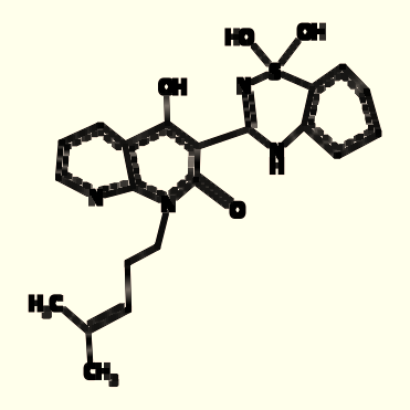 CC(C)=CCCn1c(=O)c(C2=NS(O)(O)c3ccccc3N2)c(O)c2cccnc21